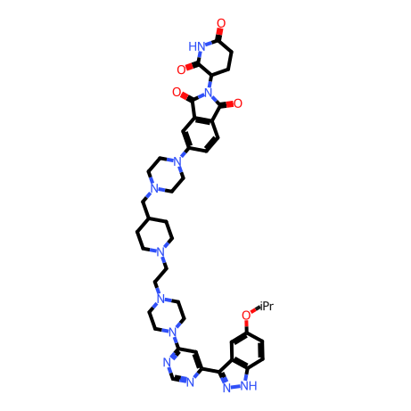 CC(C)Oc1ccc2[nH]nc(-c3cc(N4CCN(CCN5CCC(CN6CCN(c7ccc8c(c7)C(=O)N(C7CCC(=O)NC7=O)C8=O)CC6)CC5)CC4)ncn3)c2c1